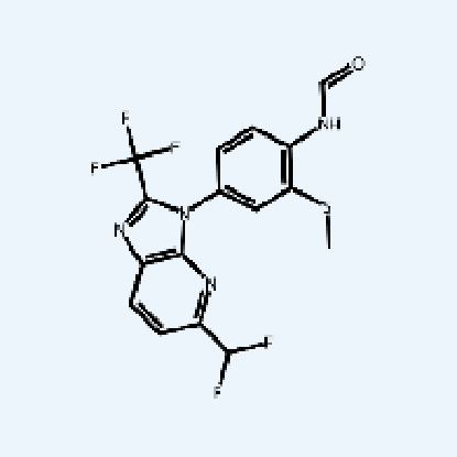 CSc1cc(-n2c(C(F)(F)F)nc3ccc(C(F)F)nc32)ccc1NC=O